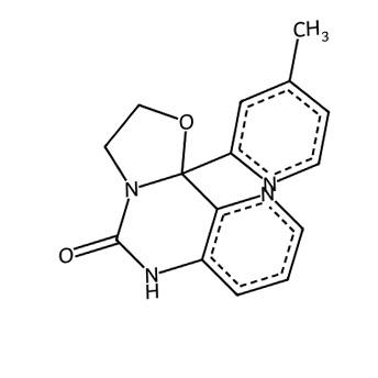 Cc1ccnc(C23OCCN2C(=O)Nc2cccnc23)c1